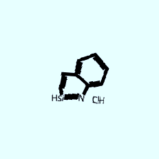 Cl.c1ccc2n[siH]ccc2c1